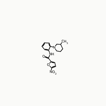 CC1CCCN(c2ccccc2NC(=O)c2ccc([N+](=O)[O-])o2)C1